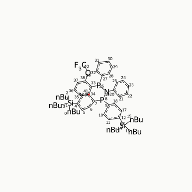 CCCC[Si](CCCC)(CCCC)c1ccc(P(c2ccc([Si](CCCC)(CCCC)CCCC)cc2)N(c2ccccc2)P(c2ccccc2)c2ccccc2OC(F)(F)F)cc1